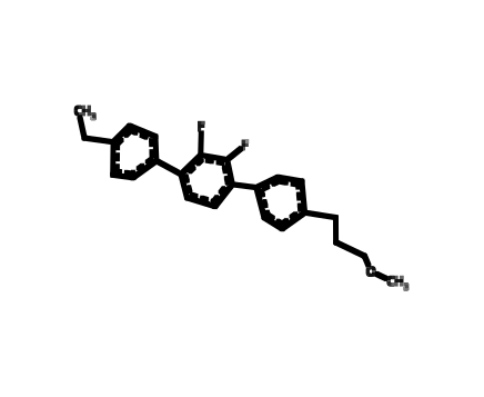 CCc1ccc(-c2ccc(-c3ccc(CCCOC)cc3)c(F)c2F)cc1